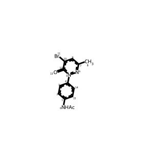 CC(=O)Nc1ccc(-n2nc(C)cc(Br)c2=O)cc1